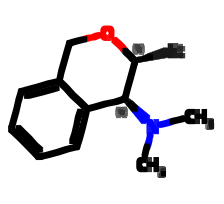 CC[C@@H]1OCc2ccccc2[C@@H]1N(C)C